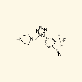 CN1CCN(Cc2nnnn2-c2ccc(C#N)c(C(F)(F)F)c2)CC1